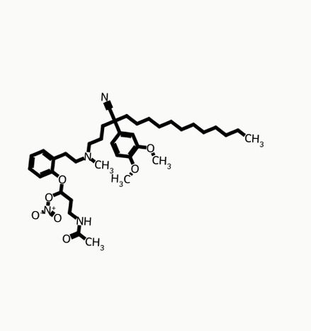 CCCCCCCCCCCCC(C#N)(CCCN(C)CCc1ccccc1OC(CCNC(C)=O)O[N+](=O)[O-])c1ccc(OC)c(OC)c1